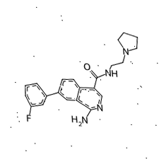 Nc1ncc(C(=O)NCCN2CCCC2)c2ccc(-c3cccc(F)c3)cc12